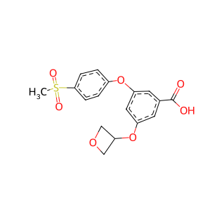 CS(=O)(=O)c1ccc(Oc2cc(OC3COC3)cc(C(=O)O)c2)cc1